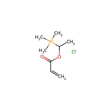 C=CC(=O)OC(C)[P+](C)(C)C.[Cl-]